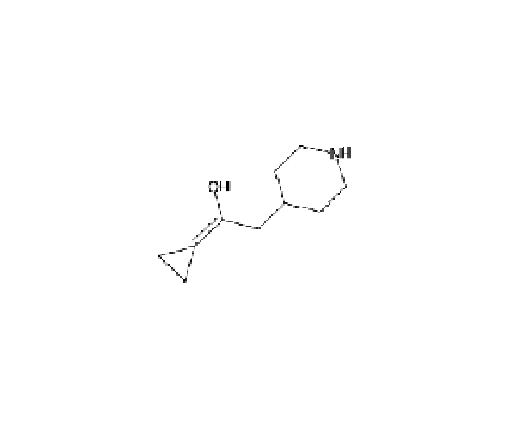 OC(CC1CCNCC1)=C1CC1